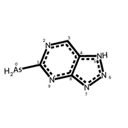 [AsH2]c1ncc2[nH]nnc2n1